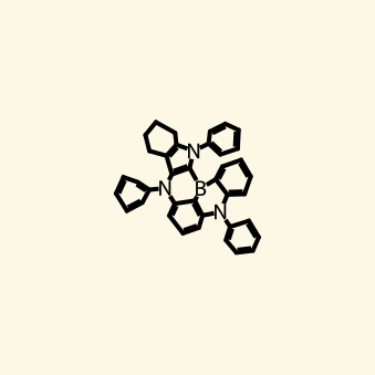 c1ccc(N2c3ccccc3B3c4c2cccc4N(c2ccccc2)c2c4c(n(-c5ccccc5)c23)CCCC4)cc1